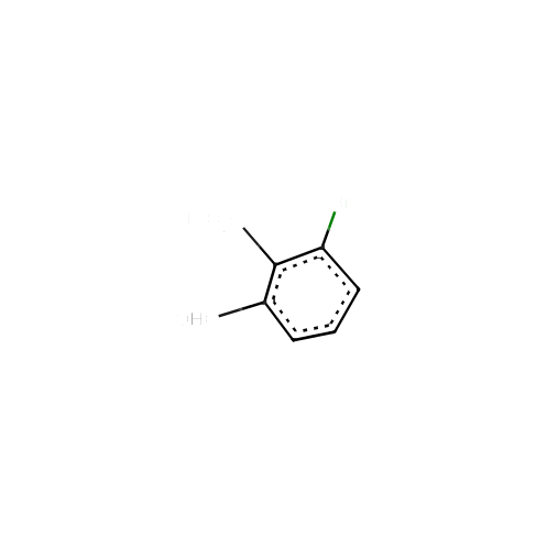 CCOC(=O)c1c(Br)cccc1C=O